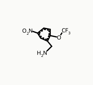 NCc1cc([N+](=O)[O-])ccc1OC(F)(F)F